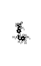 B[C@@]1(Cc2ccc(OCC3(C)CCc4c(C)c(O)c(C)c(C)c4O3)cc2)SC(=O)NC1=O